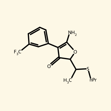 CCCSC(C)C1OC(N)=C(c2cccc(C(F)(F)F)c2)C1=O